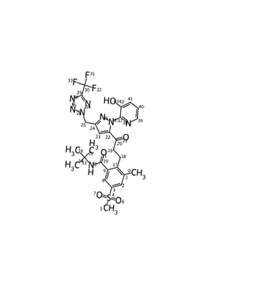 Cc1cc(S(C)(=O)=O)cc(C(=O)NC(C)(C)C)c1CCC(=O)c1cc(Cn2nnc(C(F)(F)F)n2)nn1-c1ncccc1O